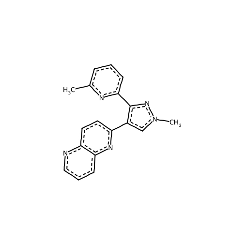 Cc1cccc(-c2nn(C)cc2-c2ccc3ncccc3n2)n1